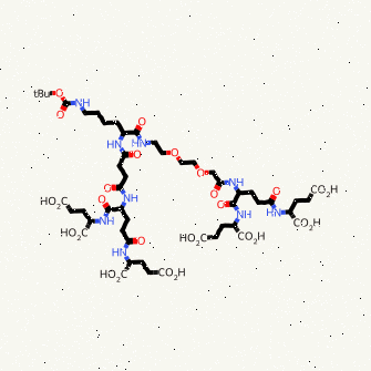 CC(C)(C)OC(=O)NCCCCC(NC(=O)CCC(=O)NC(CCC(=O)NC(CCC(=O)O)C(=O)O)C(=O)NC(CCC(=O)O)C(=O)O)C(=O)NCCOCCOCC(=O)NC(CCC(=O)NC(CCC(=O)O)C(=O)O)C(=O)NC(CCC(=O)O)C(=O)O